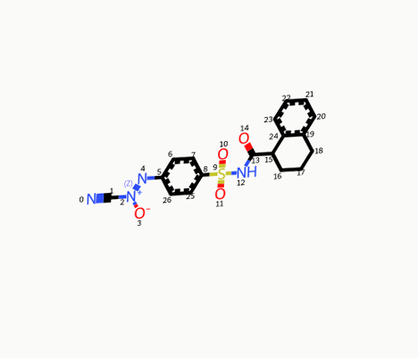 N#C/[N+]([O-])=N/c1ccc(S(=O)(=O)NC(=O)C2CCCc3ccccc32)cc1